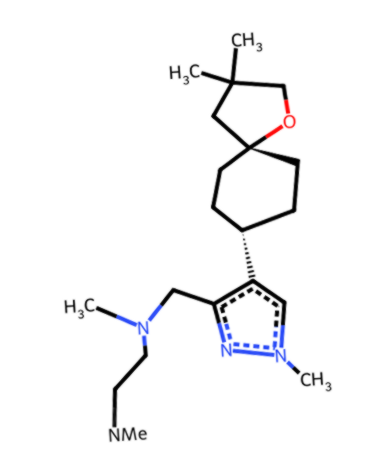 CNCCN(C)Cc1nn(C)cc1[C@H]1CC[C@@]2(CC1)CC(C)(C)CO2